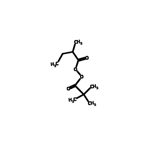 CCC(C)C(=O)OOC(=O)C(C)(C)C